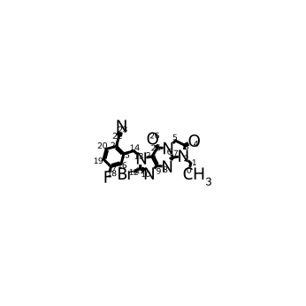 CCN1C(=O)Cn2c1nc1nc(Br)n(Cc3cc(F)ccc3C#N)c1c2=O